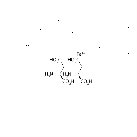 N[C@@H](CC(=O)O)C(=O)O.N[C@@H](CC(=O)O)C(=O)O.[Fe+3]